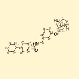 CN1[C@@H]2CC[C@H]1C[C@@H](Oc1cccc(CNC(=O)c3ccc(C4CCCCC4)cc3)c1)C2